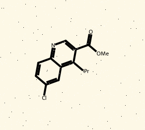 COC(=O)c1cnc2ccc(Cl)cc2c1C(C)C